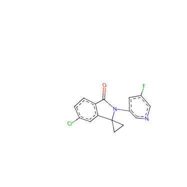 O=C1c2ccc(Cl)cc2C2(CC2)N1c1cncc(F)c1